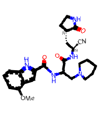 COc1cccc2[nH]c(C(=O)NC(CN3CCCCC3)C(=O)N[C@H](C#N)C[C@@H]3CCNC3=O)cc12